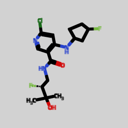 CC(C)(O)[C@H](F)CNC(=O)c1cnc(Cl)cc1NC1CCC(F)C1